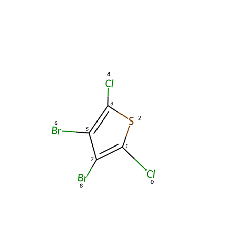 Clc1sc(Cl)c(Br)c1Br